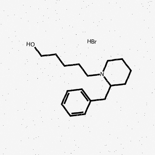 Br.OCCCCCN1CCCCC1Cc1ccccc1